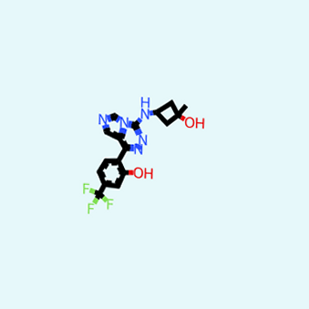 CC1(O)CC(Nc2nnc(-c3ccc(C(F)(F)F)cc3O)c3cncn23)C1